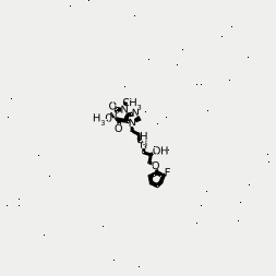 Cn1c(=O)c2c(ncn2CCCNCC(O)COc2ccccc2F)n(C)c1=O